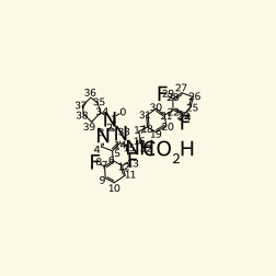 CN(c1ncc(-c2c(F)cccc2F)c(N[C@@H](Cc2ccc(-c3c(F)cccc3F)cc2)C(=O)O)n1)C1CCCCC1